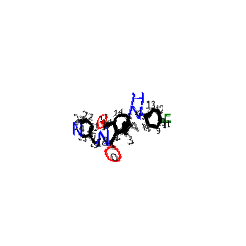 O=C1c2ccc(Nc3ccc(F)cc3)cc2C(=O)N1Cc1cccnc1